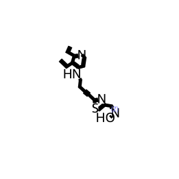 C=Cc1nccc(NCCC#Cc2nc(/C=N\O)cs2)c1C=C